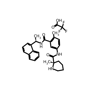 Cc1ccc(NC(=O)[C@]2(C)CCCCN2)cc1C(=O)N[C@H](C)c1cccc2ccccc12.O=C(O)C(F)(F)F